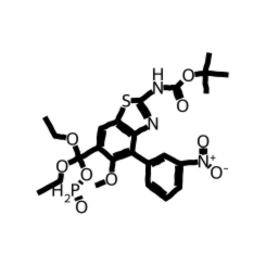 CCOC(OCC)(O[PH2]=O)c1cc2sc(NC(=O)OC(C)(C)C)nc2c(-c2cccc([N+](=O)[O-])c2)c1OC